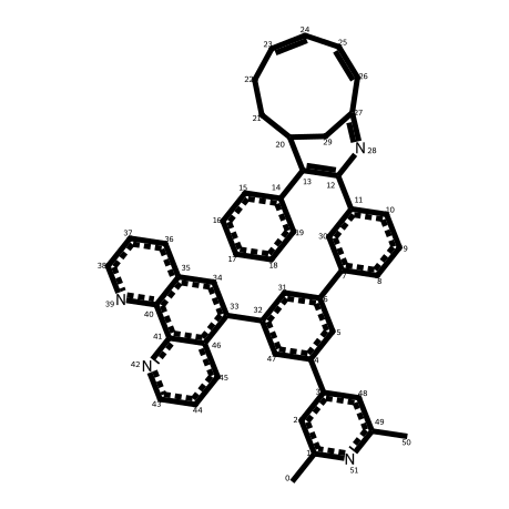 Cc1cc(-c2cc(-c3cccc(C4=C(c5ccccc5)C5CC/C=C\C=C/C(=N4)C5)c3)cc(-c3cc4cccnc4c4ncccc34)c2)cc(C)n1